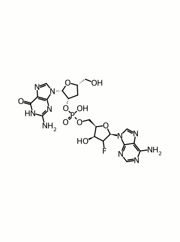 Nc1nc2c(ncn2[C@@H]2O[C@H](CO)C[C@@H]2OP(=O)(O)OC[C@H]2O[C@@H](n3cnc4c(N)ncnc43)C(F)[C@H]2O)c(=O)[nH]1